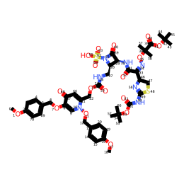 COc1ccc(COc2cn(OCc3ccc(OC)cc3)c(COC(=O)NC[C@@H]3[C@H](NC(=O)/C(=N\OC(C)(C)C(=O)OC(C)(C)C)C4CSC(NC(=O)OC(C)(C)C)=N4)C(=O)N3S(=O)(=O)O)cc2=O)cc1